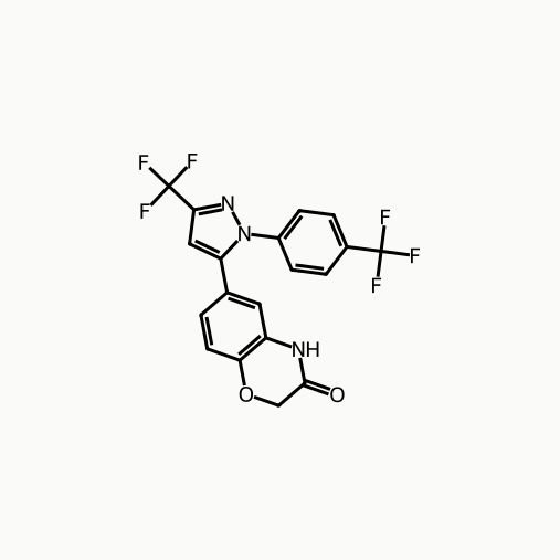 O=C1COc2ccc(-c3cc(C(F)(F)F)nn3-c3ccc(C(F)(F)F)cc3)cc2N1